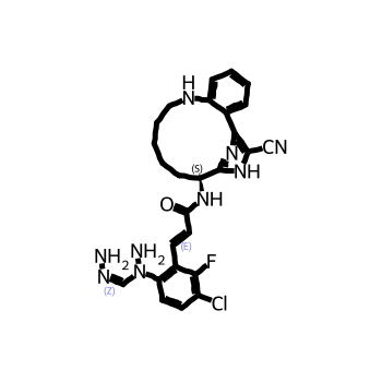 N#Cc1[nH]c2nc1-c1ccccc1NCCCCC[C@@H]2NC(=O)/C=C/c1c(N(N)/C=N\N)ccc(Cl)c1F